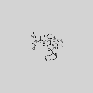 CCO[C@H]1OC(=O)C[C@@H]1NC(=O)[C@@H]1[C@H]2CCC(C2)N1C(=O)[C@@H](NC(=O)c1nccc2ccccc12)C(C)(C)C